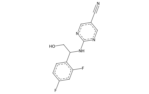 N#Cc1cnc(NC(CO)c2ccc(F)cc2F)nc1